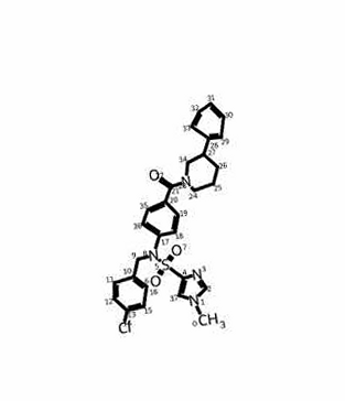 Cn1cnc(S(=O)(=O)N(Cc2ccc(Cl)cc2)c2ccc(C(=O)N3CCCC(c4ccccc4)C3)cc2)c1